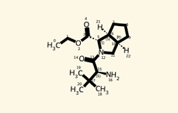 CCOC(=O)[C@@H]1[C@H]2CCC[C@H]2CN1C(=O)[C@@H](N)C(C)(C)C